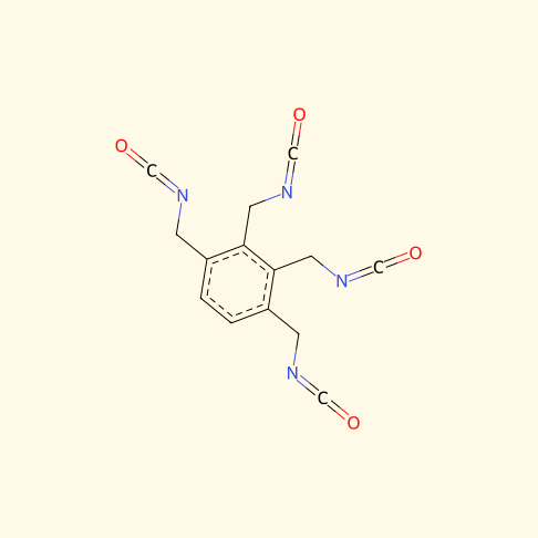 O=C=NCc1ccc(CN=C=O)c(CN=C=O)c1CN=C=O